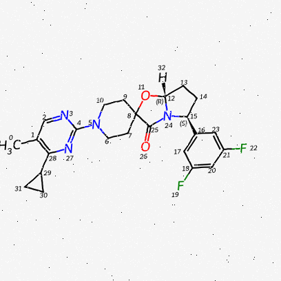 Cc1cnc(N2CCC3(CC2)O[C@@H]2CC[C@@H](c4cc(F)cc(F)c4)N2C3=O)nc1C1CC1